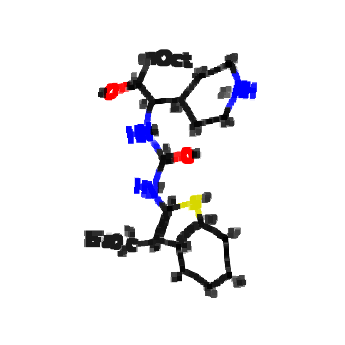 CCCCCCCCC(=O)C(NC(=O)Nc1sc2c(c1C(=O)OCC)CCCC2)C1CCNCC1